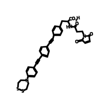 O=C(CCN1C(=O)C=CC1=O)NC(Cc1ccc(C#Cc2ccc(C#Cc3ccc(N4CCSSCC4)cc3)cc2)cc1)C(=O)O